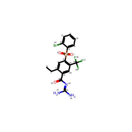 CCc1cc(S(=O)(=O)c2ccccc2Br)c(C(F)(F)F)cc1C(=O)N=C(N)N